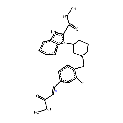 O=C(/C=C/c1ccc(CN2CCCC(c3c(C(=O)NO)[nH]c4ccccc34)C2)c(F)c1)NO